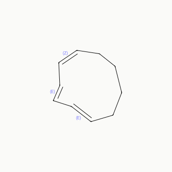 C1=C\CCCC/C=C/C=C/1